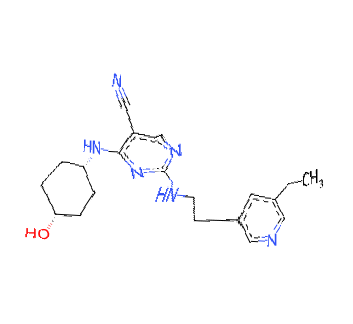 CCc1cncc(CCNc2ncc(C#N)c(N[C@H]3CC[C@@H](O)CC3)n2)c1